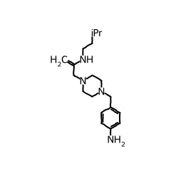 C=C(CN1CCN(Cc2ccc(N)cc2)CC1)NCCC(C)C